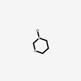 [O-][S+]1CCCOC1